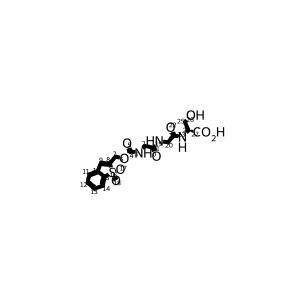 O=C(CNC(=O)OCC1=Cc2ccccc2S1(=O)=O)NCC(=O)N[C@@H](CO)C(=O)O